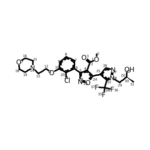 COC(=O)c1c(-c2cccc(OCCN3CCOCC3)c2Cl)noc1-c1cnn(C[C@H](C)O)c1C(F)(F)F